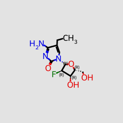 CCc1cn([C@@H]2O[C@H](CO)[C@@H](O)[C@H]2F)c(=O)nc1N